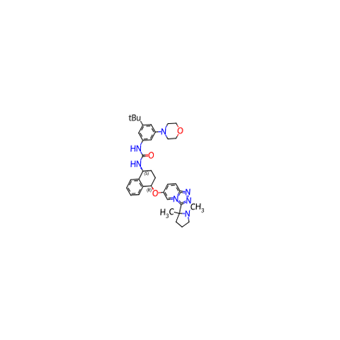 CN1CCCC1(C)c1nnc2ccc(O[C@@H]3CC[C@H](NC(=O)Nc4cc(N5CCOCC5)cc(C(C)(C)C)c4)c4ccccc43)cn12